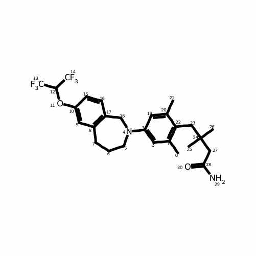 Cc1cc(N2CCCc3cc(OC(C(F)(F)F)C(F)(F)F)ccc3C2)cc(C)c1CC(C)(C)CC(N)=O